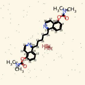 Br.Br.CN(C)C(=O)Oc1cccc2c(CCCCCc3nccc4c(OC(=O)N(C)C)cccc34)nccc12